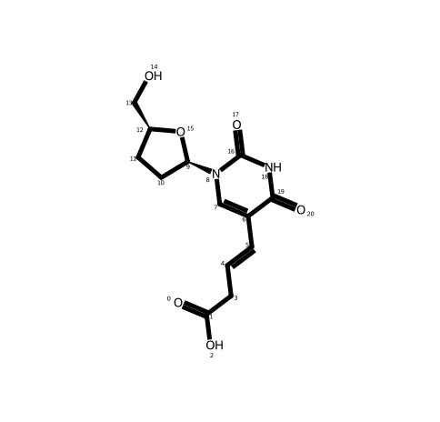 O=C(O)C/C=C/c1cn([C@H]2CC[C@@H](CO)O2)c(=O)[nH]c1=O